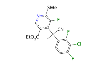 CCOC(=O)c1cnc(SC)c(F)c1C(C)(C#N)c1ccc(F)c(Cl)c1F